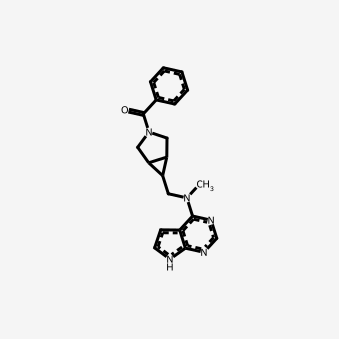 CN(CC1C2CN(C(=O)c3ccccc3)CC21)c1ncnc2[nH]ccc12